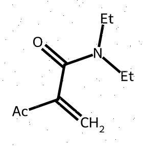 C=C(C(C)=O)C(=O)N(CC)CC